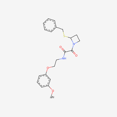 CCCOc1cccc(OCCNC(=O)C(=O)N2CCC2SCc2ccccc2)c1